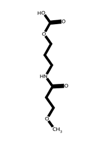 COCCC(=O)NCCCOC(=O)O